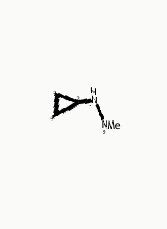 CNNC1CC1